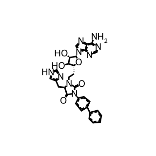 Nc1ncnc2c1ncn2[C@@H]1O[C@H](CCN2C(=O)N(c3ccc(-c4ccccc4)cc3)C(=O)C2Cc2c[nH]cn2)C(O)[C@H]1O